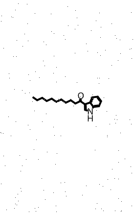 CCCCCCCCCCC(=O)c1c[nH]c2ccccc12